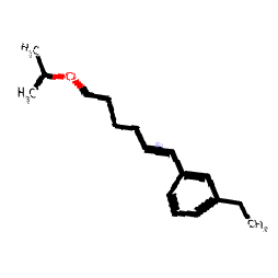 CCc1cccc(/C=C/CCCCOC(C)C)c1